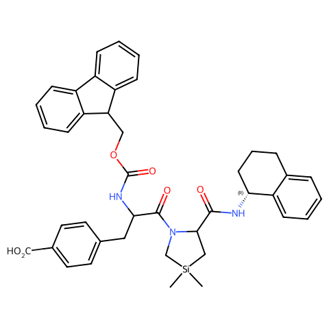 C[Si]1(C)CC(C(=O)N[C@@H]2CCCc3ccccc32)N(C(=O)C(Cc2ccc(C(=O)O)cc2)NC(=O)OCC2c3ccccc3-c3ccccc32)C1